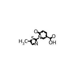 Cc1cnc(-n2cc(C(=O)O)ccc2=O)s1